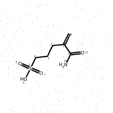 C=C(CCCS(=O)(=O)O)C(N)=O